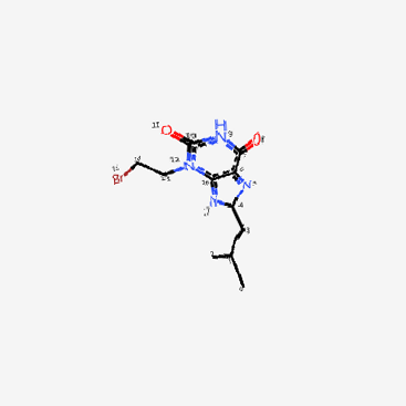 CC(C)CC1N=c2c(=O)[nH]c(=O)n(CCBr)c2=N1